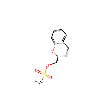 CS(=O)(=O)OCC1CCc2ccccc2O1